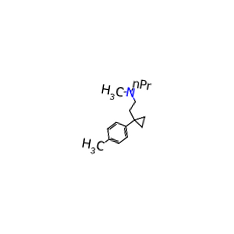 CCCN(C)CCC1(c2ccc(C)cc2)CC1